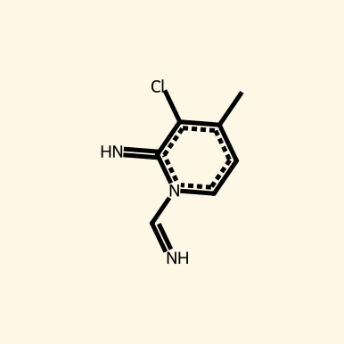 Cc1ccn(C=N)c(=N)c1Cl